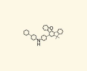 CC1(C)c2ccccc2-c2c1cc(-c1ccc(Nc3ccc(-c4ccccc4)cc3)cc1)c1c2oc2ccccc21